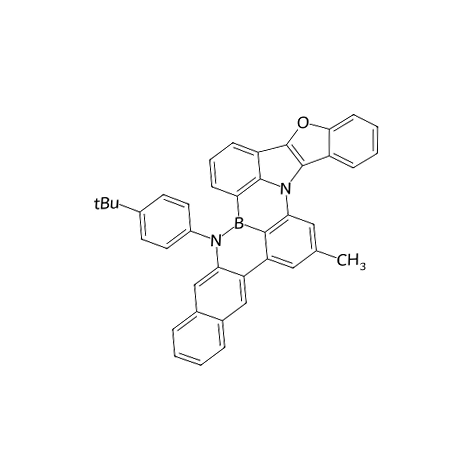 Cc1cc2c3c(c1)-n1c4c(cccc4c4oc5ccccc5c41)B3N(c1ccc(C(C)(C)C)cc1)c1cc3ccccc3cc1-2